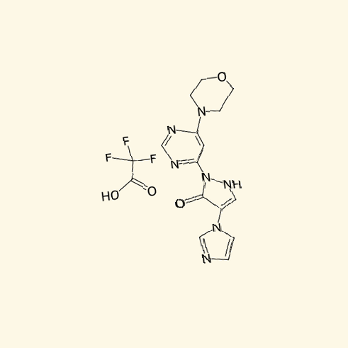 O=C(O)C(F)(F)F.O=c1c(-n2ccnc2)c[nH]n1-c1cc(N2CCOCC2)ncn1